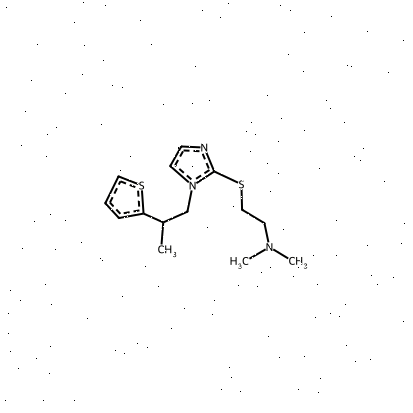 CC(Cn1ccnc1SCCN(C)C)c1cccs1